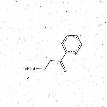 CCCCCCCC(=O)c1ccccn1